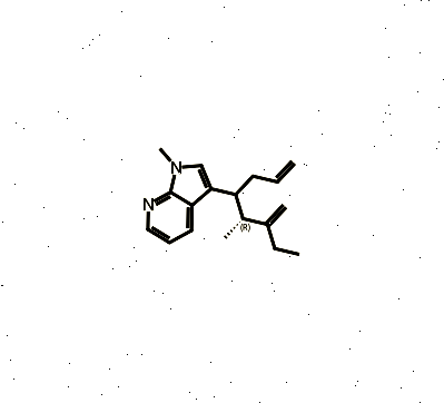 C=CCC(c1cn(C)c2ncccc12)[C@@H](C)C(=C)CC